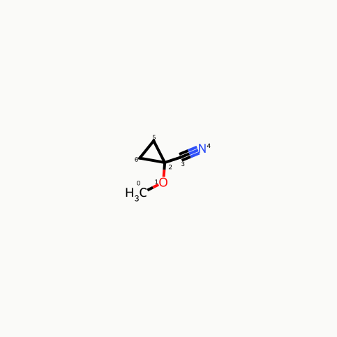 COC1(C#N)CC1